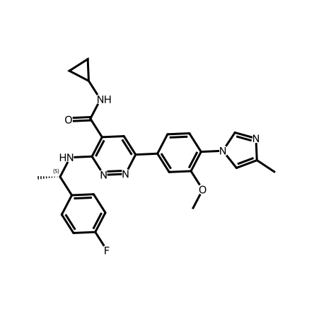 COc1cc(-c2cc(C(=O)NC3CC3)c(N[C@@H](C)c3ccc(F)cc3)nn2)ccc1-n1cnc(C)c1